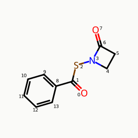 O=C(SN1CCC1=O)c1ccccc1